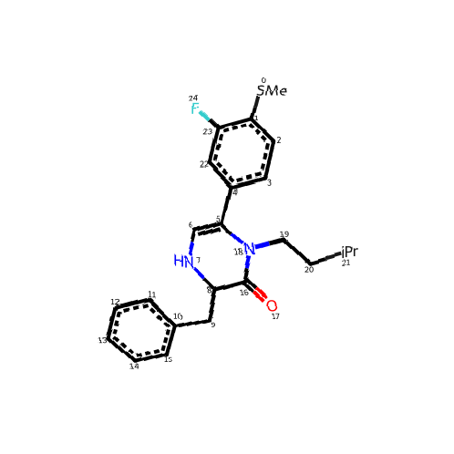 CSc1ccc(C2=CNC(Cc3ccccc3)C(=O)N2CCC(C)C)cc1F